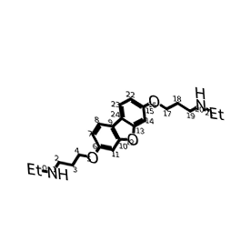 CCNCCCOc1ccc2c(c1)oc1cc(OCCCNCC)ccc12